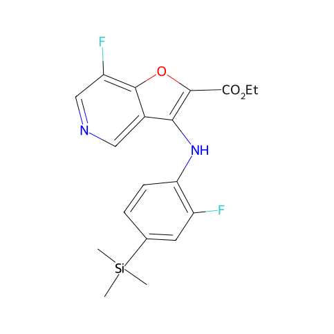 CCOC(=O)c1oc2c(F)cncc2c1Nc1ccc([Si](C)(C)C)cc1F